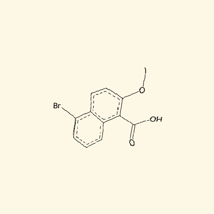 O=C(O)c1c(OI)ccc2c(Br)cccc12